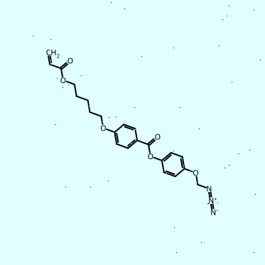 C=CC(=O)OCCCCCOc1ccc(C(=O)Oc2ccc(OCN=[N+]=[N-])cc2)cc1